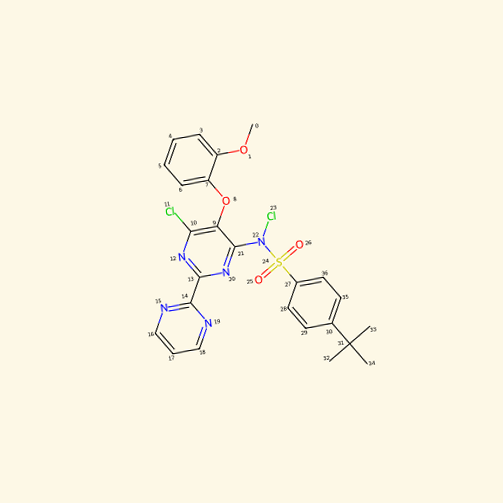 COc1ccccc1Oc1c(Cl)nc(-c2ncccn2)nc1N(Cl)S(=O)(=O)c1ccc(C(C)(C)C)cc1